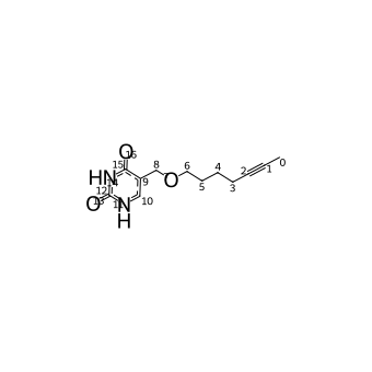 CC#CCCCCOCc1c[nH]c(=O)[nH]c1=O